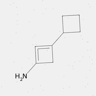 NC1=C=C(C2CCC2)C1